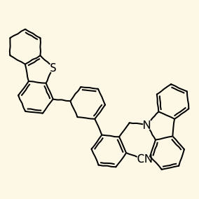 N#Cc1cccc(C2=CC=CC(c3cccc4c5c(sc34)C=CCC5)C2)c1Cn1c2ccccc2c2ccccc21